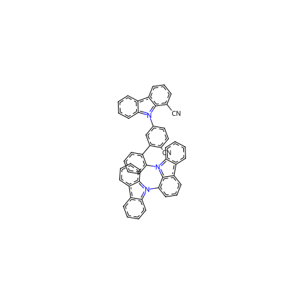 N#Cc1ccc(-n2c3ccccc3c3cccc(C#N)c32)cc1-c1ccccc1-n1c2ccccc2c2cccc(-n3c4ccccc4c4ccccc43)c21